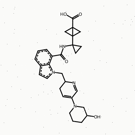 O=C(NC1(C23CC2(C(=O)O)C3)CC1)c1cccc2ccn(CC3CC=C(N4CCCC(O)C4)C=N3)c12